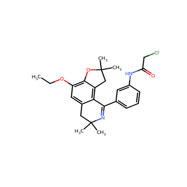 CCOc1cc2c(c3c1OC(C)(C)C3)C(c1cccc(NC(=O)CCl)c1)=NC(C)(C)C2